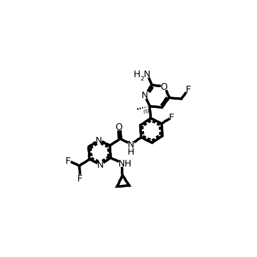 C[C@@]1(c2cc(NC(=O)c3ncc(C(F)F)nc3NC3CC3)ccc2F)C=C(CF)OC(N)=N1